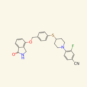 N#Cc1ccc(N2CCC(Sc3ccc(COc4cccc5c4CNC5=O)cc3)CC2)c(F)c1